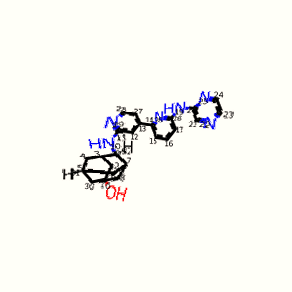 OC12CC3C[C@H](CC(C1)[C@@H]3Nc1cc(-c3cccc(Nc4cnccn4)n3)ccn1)C2